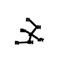 CCC[Si](NCC)(NCC)C(C)CC